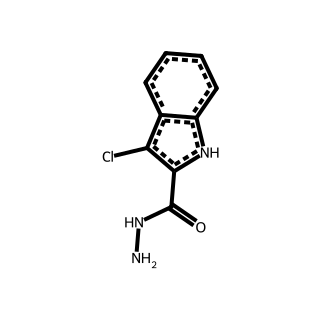 NNC(=O)c1[nH]c2ccccc2c1Cl